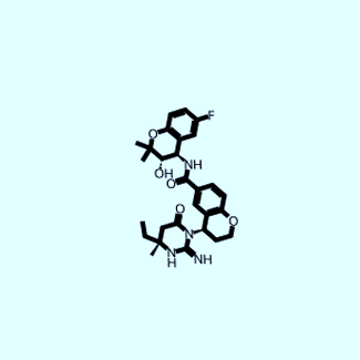 CC[C@]1(C)CC(=O)N([C@@H]2CCOc3ccc(C(=O)N[C@@H]4c5cc(F)ccc5OC(C)(C)[C@H]4O)cc32)C(=N)N1